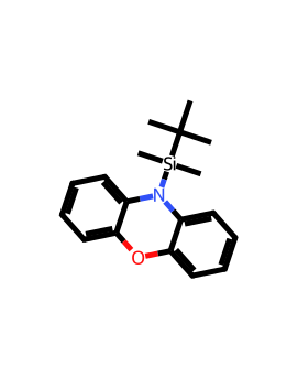 CC(C)(C)[Si](C)(C)N1c2ccccc2Oc2ccccc21